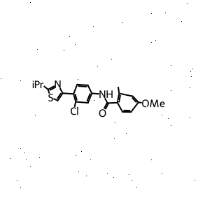 COc1ccc(C(=O)Nc2ccc(-c3csc(C(C)C)n3)c(Cl)c2)c(C)c1